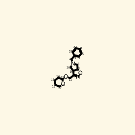 c1ccc(CN2CC3ON=C(COC4CCCCO4)C3C2)cc1